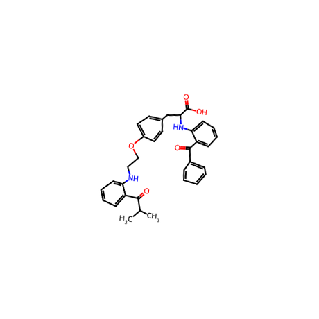 CC(C)C(=O)c1ccccc1NCCOc1ccc(CC(Nc2ccccc2C(=O)c2ccccc2)C(=O)O)cc1